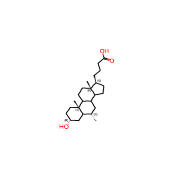 C[C@H]1CC2C(CC[C@@]3(C)C2CC[C@@H]3CCCC(=O)O)[C@@]2(C)CC[C@@H](O)CC12